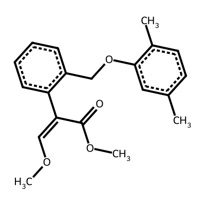 COC=C(C(=O)OC)c1ccccc1COc1cc(C)ccc1C